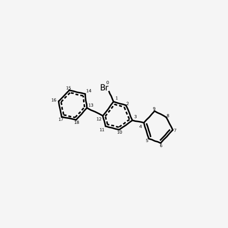 Brc1cc(C2=CC=CCC2)ccc1-c1ccccc1